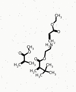 C=C(C(=O)OCCN)C(C)(C)C.C=C(C)C(=O)OC.C=CC(=O)OCC